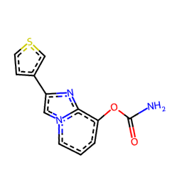 NC(=O)Oc1cccn2cc(-c3ccsc3)nc12